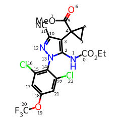 CCOC(=O)Nc1c(C2(C(=O)OC)CC2)c(C#N)nn1-c1c(Cl)cc(OC(F)(F)F)cc1Cl